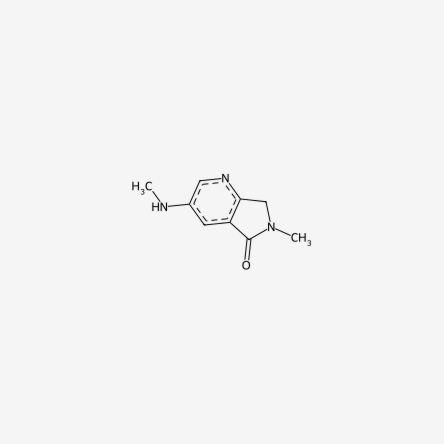 CNc1cnc2c(c1)C(=O)N(C)C2